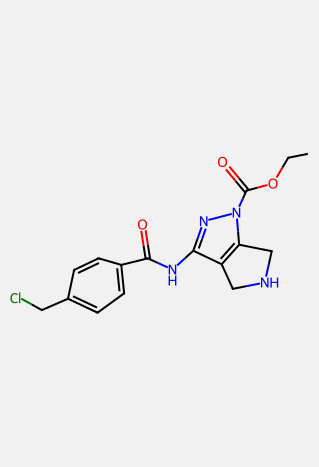 CCOC(=O)n1nc(NC(=O)c2ccc(CCl)cc2)c2c1CNC2